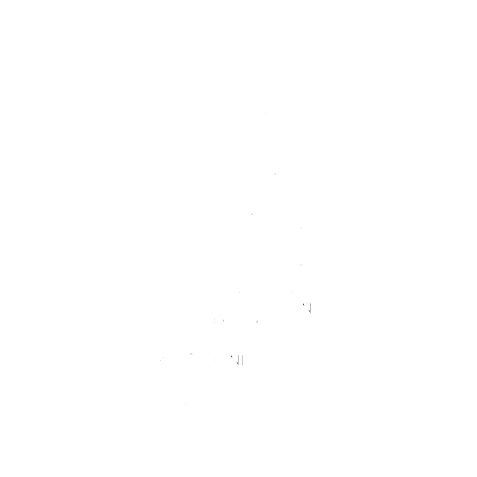 CCC1CCC(c2ccc(-c3ccc4c(C(=O)Nc5ccccc5)ccnc4c3)cc2)CC1